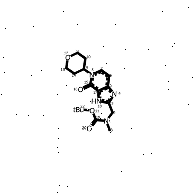 CN(Cc1nc2ccn(C3CCOCC3)c(=O)c2[nH]1)C(=O)OC(C)(C)C